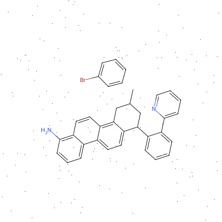 Brc1ccccc1.CC1Cc2c(ccc3c2ccc2c(N)cccc23)C(c2ccccc2-c2ccccn2)C1